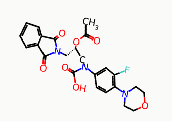 CC(=O)O[C@@H](CN1C(=O)c2ccccc2C1=O)CN(C(=O)O)c1ccc(N2CCOCC2)c(F)c1